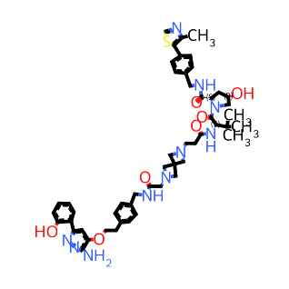 Cc1ncsc1-c1ccc(CNC(=O)[C@@H]2C[C@@H](O)CN2C(=O)[C@@H](NC(=O)CCN2CC3(C2)CN(CC(=O)NCc2ccc(CCOc4cc(-c5ccccc5O)nnc4N)cc2)C3)C(C)(C)C)cc1